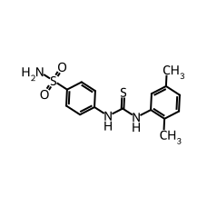 Cc1ccc(C)c(NC(=S)Nc2ccc(S(N)(=O)=O)cc2)c1